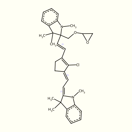 CN1/C(=C\C=C2/CCC(/C=C/C3(COC4CO4)N(C)c4ccccc4C3(C)C)=C2Cl)C(C)(C)c2ccccc21